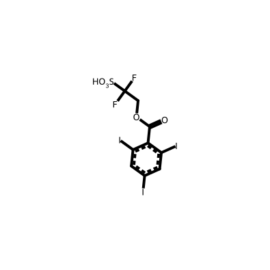 O=C(OCC(F)(F)S(=O)(=O)O)c1c(I)cc(I)cc1I